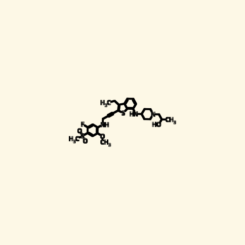 CCc1c(C#CCNc2cc(F)c(S(C)(=O)=O)cc2OC)sc2c(NC3CCN(CC(C)O)CC3)cccc12